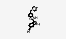 CN1CCN(Cc2ccc3nc(-c4n[nH]c5cc(C#N)ccc45)[nH]c3c2)CC1